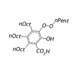 CCCCCCCCc1c(CCCCCCCC)c(OOCCCCC)c(O)c(C(=O)O)c1CCCCCCCC